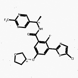 C[C@@H](NC(=O)c1cc(O[C@@H]2CCOC2)cc(-c2ncc(Cl)s2)c1F)c1cnc(C(F)(F)F)nc1